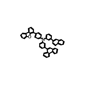 c1cc(-c2ccc3ccccc3c2)cc(N(c2ccc(-c3cccc4c3oc3ccccc34)cc2)c2cccc(-c3cc4ccccc4c4ccccc34)c2)c1